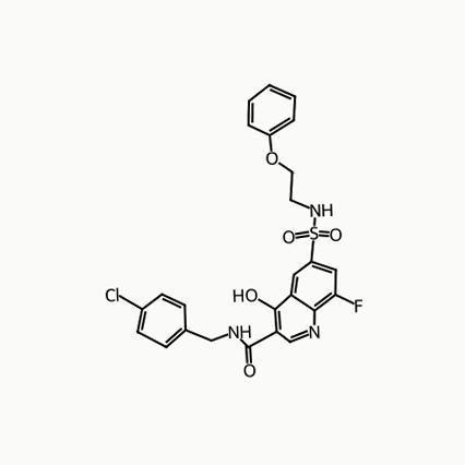 O=C(NCc1ccc(Cl)cc1)c1cnc2c(F)cc(S(=O)(=O)NCCOc3ccccc3)cc2c1O